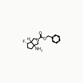 N[C@@]12CC[C@H](F)[C@@H]1CN(C(=O)OCc1ccccc1)C2